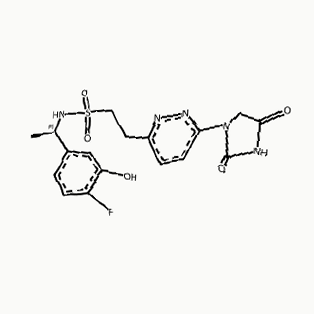 C[C@@H](NS(=O)(=O)CCc1ccc(N2CC(=O)NC2=O)nn1)c1ccc(F)c(O)c1